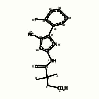 CC(C)(CC(=O)O)C(=O)Nc1nc(-c2ccccc2F)c(C#N)s1